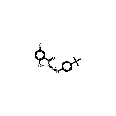 CC(C)(C)c1ccc(N=[N+]=NC(=O)c2cc(Cl)ccc2O)cc1